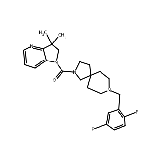 CC1(C)CN(C(=O)N2CCC3(CCN(Cc4cc(F)ccc4F)CC3)C2)c2cccnc21